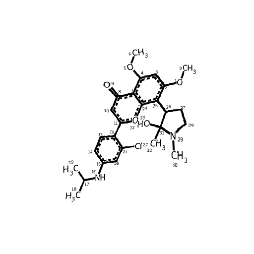 COc1cc(OC)c2c(=O)cc(-c3ccc(NC(C)C)cc3Cl)oc2c1C1CCN(C)C1(C)O